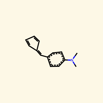 CN(C)c1ccc(C=C2C=CC=C2)cc1